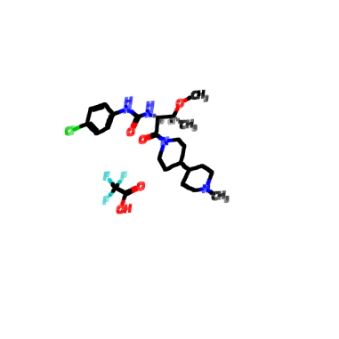 CO[C@H](C)[C@@H](NC(=O)Nc1ccc(Cl)cc1)C(=O)N1CCC(C2CCN(C)CC2)CC1.O=C(O)C(F)(F)F